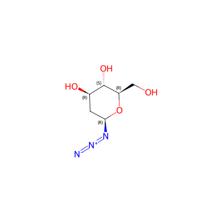 [N-]=[N+]=N[C@H]1C[C@@H](O)[C@H](O)[C@@H](CO)O1